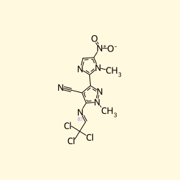 Cn1nc(-c2ncc([N+](=O)[O-])n2C)c(C#N)c1/N=C/C(Cl)(Cl)Cl